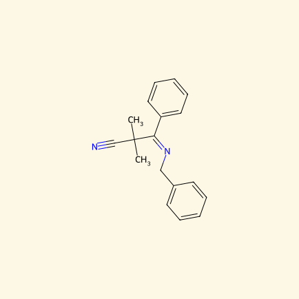 CC(C)(C#N)C(=NCc1ccccc1)c1ccccc1